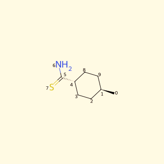 C[C@H]1CC[C@H](C(N)=S)CC1